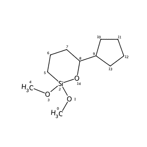 CO[Si]1(OC)CCCC(C2CCCC2)O1